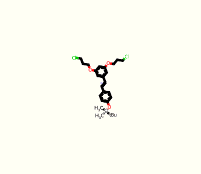 CC(C)(C)[Si](C)(C)Oc1ccc(/C=C/c2cc(OCCCCl)cc(OCCCCl)c2)cc1